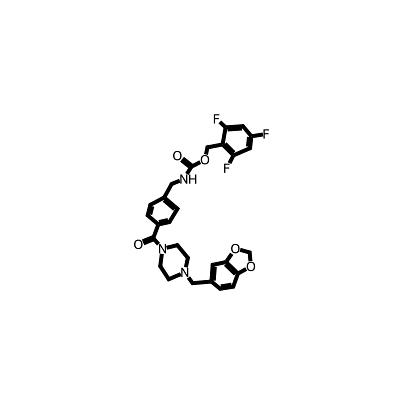 O=C(NCc1ccc(C(=O)N2CCN(Cc3ccc4c(c3)OCO4)CC2)cc1)OCc1c(F)cc(F)cc1F